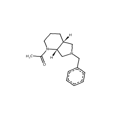 CC(=O)N1CCC[C@@H]2CN(Cc3ccccc3)C[C@@H]21